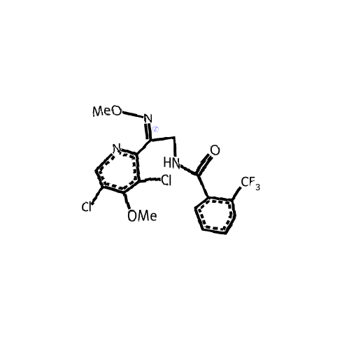 CO/N=C(/CNC(=O)c1ccccc1C(F)(F)F)c1ncc(Cl)c(OC)c1Cl